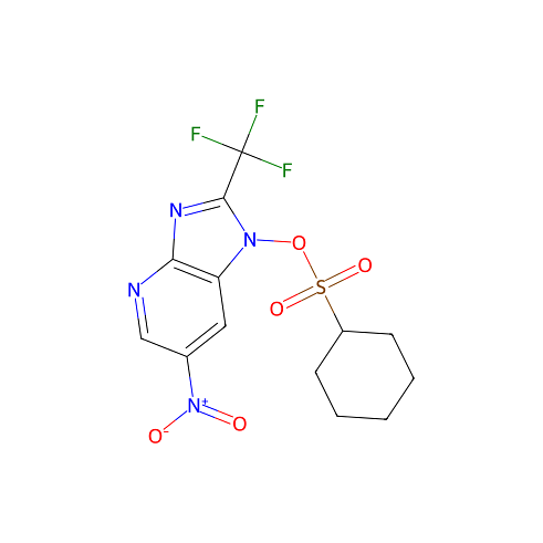 O=[N+]([O-])c1cnc2nc(C(F)(F)F)n(OS(=O)(=O)C3CCCCC3)c2c1